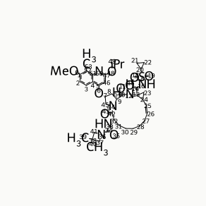 COc1ccc2c(O[C@@H]3C[C@H]4C(=O)N[C@]5(C(=O)NS(=O)(=O)C6CC6)CC5/C=C\CCCCC[C@H](NC(=O)N5CC(C)(C)C5)C(=O)N4C3)cc(OC(C)C)nc2c1C